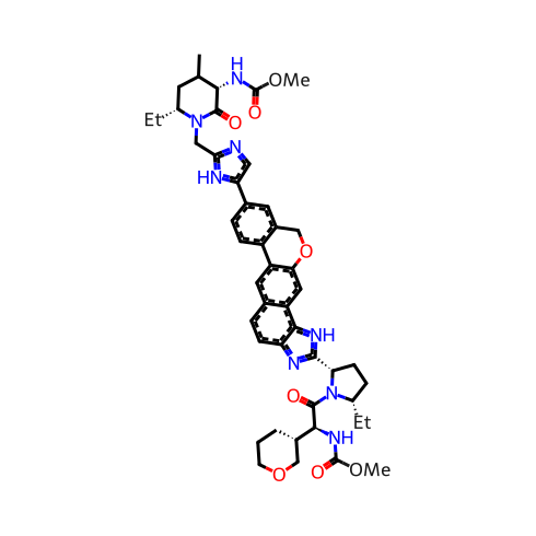 CC[C@@H]1CC(C)[C@H](NC(=O)OC)C(=O)N1Cc1ncc(-c2ccc3c(c2)COc2cc4c(ccc5nc([C@@H]6CC[C@H](CC)N6C(=O)[C@@H](NC(=O)OC)[C@H]6CCCOC6)[nH]c54)cc2-3)[nH]1